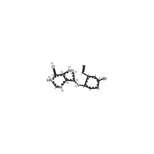 C=Cc1cc(Br)ccc1Sc1c[nH]c2c(=O)[nH]cnc12